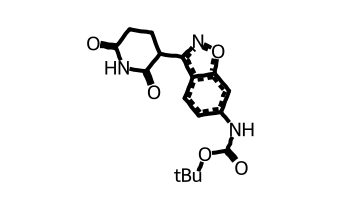 CC(C)(C)OC(=O)Nc1ccc2c(C3CCC(=O)NC3=O)noc2c1